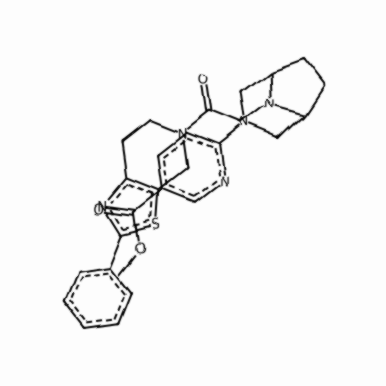 COC(=O)c1ccc(N2CC3CCC(C2)N3CC(=O)N2CCc3nc(-c4ccccc4)sc3C2)nc1